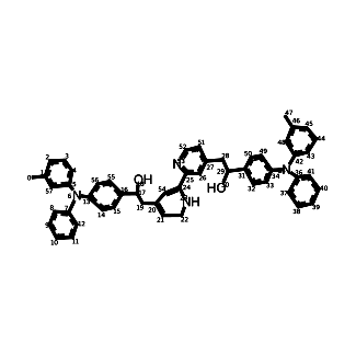 Cc1cccc(N(c2ccccc2)c2ccc(C(O)CC3=CCNC(c4cc(CC(O)c5ccc(N(c6ccccc6)c6cccc(C)c6)cc5)ccn4)=C3)cc2)c1